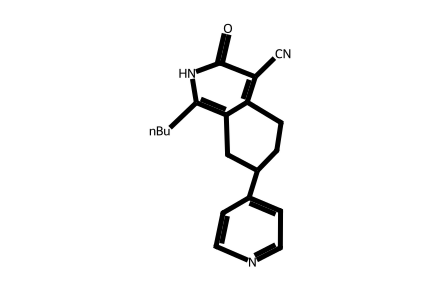 CCCCc1[nH]c(=O)c(C#N)c2c1CC(c1ccncc1)CC2